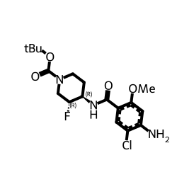 COc1cc(N)c(Cl)cc1C(=O)N[C@@H]1CCN(C(=O)OC(C)(C)C)C[C@H]1F